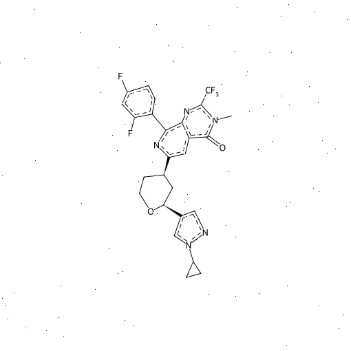 Cn1c(C(F)(F)F)nc2c(-c3ccc(F)cc3F)nc([C@@H]3CCO[C@H](c4cnn(C5CC5)c4)C3)cc2c1=O